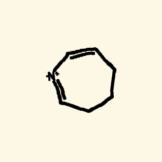 C1=C[N+]=CCCC1